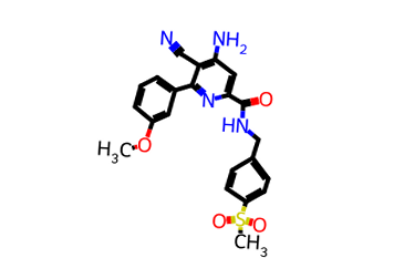 COc1cccc(-c2nc(C(=O)NCc3ccc(S(C)(=O)=O)cc3)cc(N)c2C#N)c1